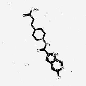 COC(=O)CCC1CCN(NC(=O)c2cc3cc(Cl)ncc3[nH]2)CC1